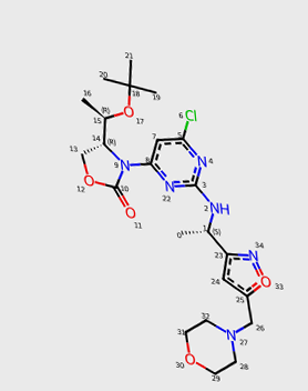 C[C@H](Nc1nc(Cl)cc(N2C(=O)OC[C@@H]2[C@@H](C)OC(C)(C)C)n1)c1cc(CN2CCOCC2)on1